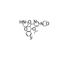 CC(C)O[C@H]1c2cc(F)ccc2OC2(CCNCC2)C1C(=O)c1ccc(N2CCOCC2)cn1